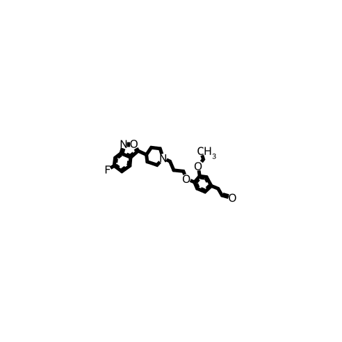 CCOc1cc(CC=O)ccc1OCCCN1CCC(c2onc3cc(F)ccc23)CC1